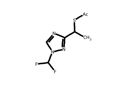 CC(=O)SC(C)c1ncn(C(F)F)n1